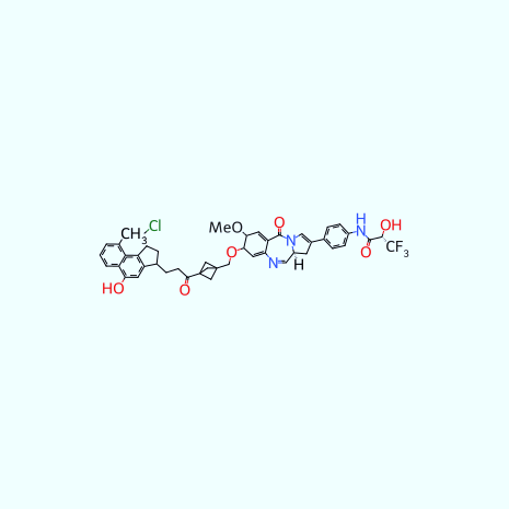 COC1C=C2C(=O)N3C=C(c4ccc(NC(=O)[C@H](O)C(F)(F)F)cc4)C[C@H]3C=NC2=CC1OCC12CC(C(=O)CCC3C[C@@H](CCl)c4c3cc(O)c3cccc(C)c43)(C1)C2